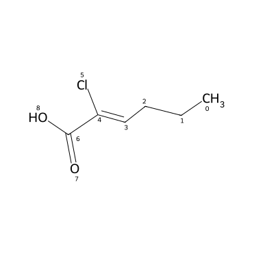 CCC/C=C(\Cl)C(=O)O